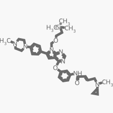 CN1CCN(c2ccc(-c3cc4c(Oc5cccc(NC(=O)C=CCN(C)C6CC6)c5)ncnc4n3COCC[Si](C)(C)C)cc2)CC1